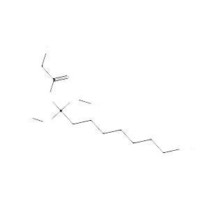 CCCCCCCCCCCCCCCCCC(OC(=O)CC(C)=O)(OC(C)C)OC(C)C